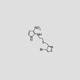 O=[N+]([O-])c1cc[nH]c1NCCSCc1nscc1Br